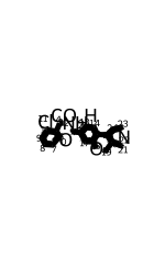 O=C(NC(C(=O)O)c1ccccc1Cl)c1ccc2c(c1)OCc1cnccc1-2